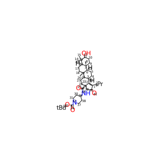 CC(C)C1=C2[C@H]3CC[C@@H]4[C@@]5(C)CC[C@H](O)C(C)(C)[C@@H]5CC[C@@]4(C)[C@]3(C)CC[C@@]2(C(=O)NC2CCN(C(=O)OC(C)(C)C)CC2)CC1=O